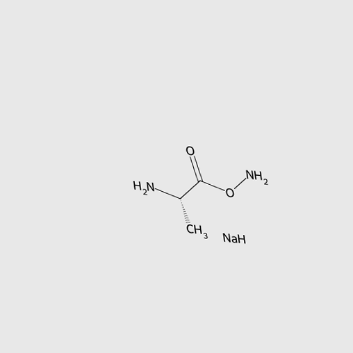 C[C@H](N)C(=O)ON.[NaH]